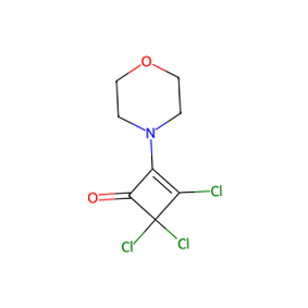 O=C1C(N2CCOCC2)=C(Cl)C1(Cl)Cl